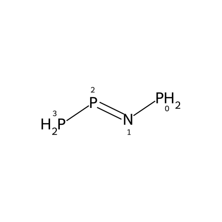 PN=PP